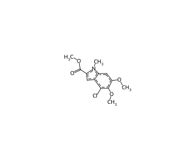 COC(=O)c1cc2c(Cl)c(OC)c(OC)cc2n1C